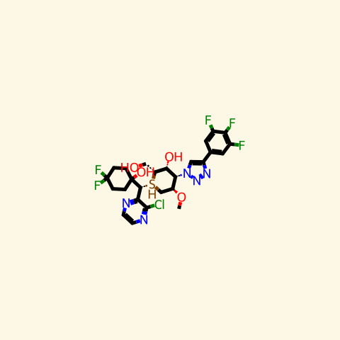 CO[C@H]1C[SH]([C@H](c2nccnc2Cl)C2(O)CCC(F)(F)CC2)[C@H](CO)[C@H](O)[C@@H]1n1cc(-c2cc(F)c(F)c(F)c2)nn1